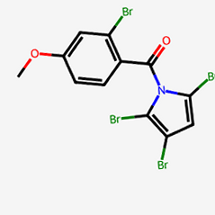 COc1ccc(C(=O)n2c(Br)cc(Br)c2Br)c(Br)c1